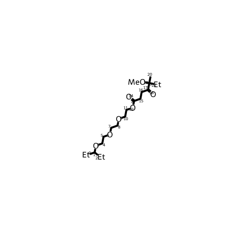 CCC(CC)OCCOCCOCCOC(=O)CCC(=O)C(C)(CC)OC